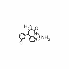 NC(=O)CN1C(=O)C(N)CC(c2cccc(Cl)c2)c2ccccc21